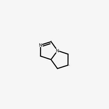 [C]1=NCC2C[CH]CN12